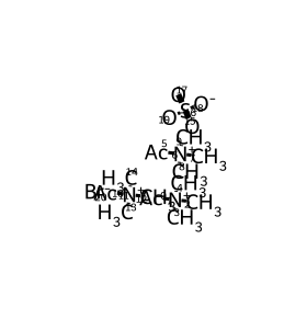 CC(=O)[N+](C)(C)C.CC(=O)[N+](C)(C)C.CC(=O)[N+](C)(C)C.O=S(=O)([O-])[O-].[Br-]